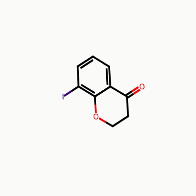 O=C1CCOc2c(I)cccc21